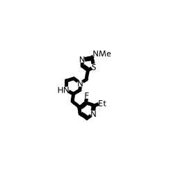 CCc1nccc(CC2CN(Cc3cnc(NC)s3)CCN2)c1F